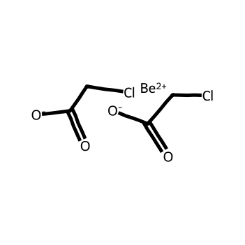 O=C([O-])CCl.O=C([O-])CCl.[Be+2]